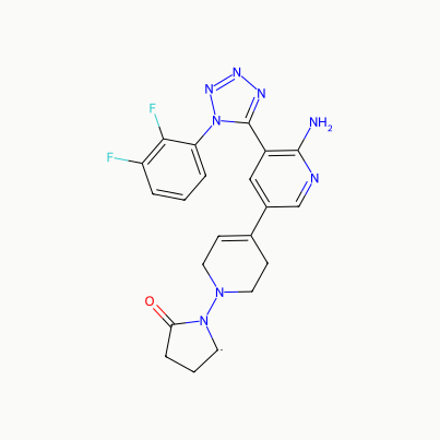 Nc1ncc(C2=CCN(N3[CH]CCC3=O)CC2)cc1-c1nnnn1-c1cccc(F)c1F